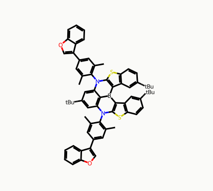 Cc1cc(-c2coc3ccccc23)cc(C)c1N1c2cc(C(C)(C)C)cc3c2B(c2c1sc1ccc(C(C)(C)C)cc21)c1c(sc2ccc(C(C)(C)C)cc12)N3c1c(C)cc(-c2coc3ccccc23)cc1C